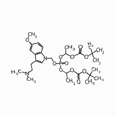 COc1ccc2c(c1)c(CCN(C)C)cn2COP(=O)(OC(C)OC(=O)OC(C)(C)C)OC(C)OC(=O)OC(C)(C)C